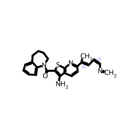 C=N/C=C\C=C(/C)c1ccc2c(N)c(C(=O)N3CCCCc4ccccc43)sc2n1